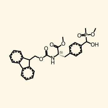 COC(=O)[C@H](Cc1ccc(C(O)P(C)(=O)OC)cc1)NC(=O)OCC1c2ccccc2-c2ccccc21